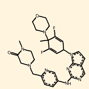 CN1CCN(Cc2ccc(Nc3ncc4ccn(C5C=C(F)C(C)(N6CCOCC6)C(F)=C5)c4n3)cn2)CC1=O